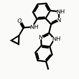 Cc1ccc2nc(-c3n[nH]c4cccc(NC(=O)C5CC5)c34)[nH]c2c1